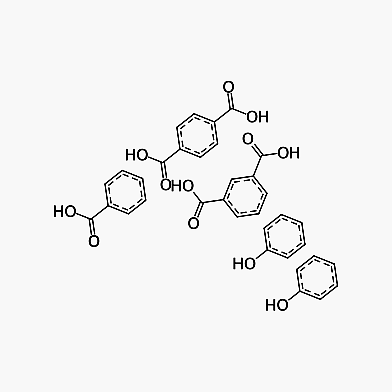 O=C(O)c1ccc(C(=O)O)cc1.O=C(O)c1cccc(C(=O)O)c1.O=C(O)c1ccccc1.Oc1ccccc1.Oc1ccccc1